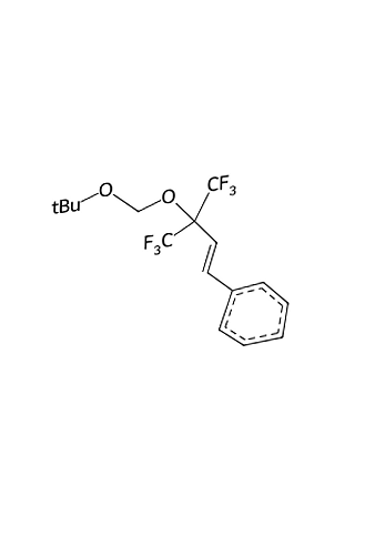 CC(C)(C)OCOC(C=Cc1ccccc1)(C(F)(F)F)C(F)(F)F